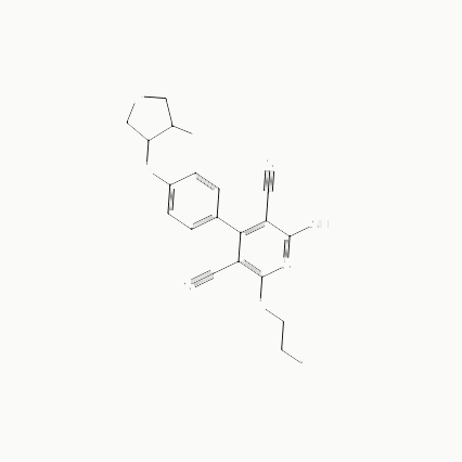 N#Cc1c(N)nc(SCCF)c(C#N)c1-c1ccc(OC2COCC2O)cc1